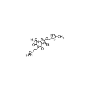 CCn1c(OCc2ncc(C)s2)nc2c1c(=O)n(CCCOPI)c(=O)n2C